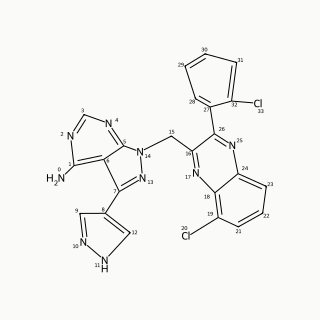 Nc1ncnc2c1c(-c1cn[nH]c1)nn2Cc1nc2c(Cl)cccc2nc1-c1ccccc1Cl